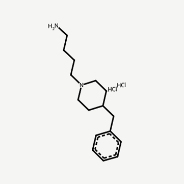 Cl.Cl.NCCCCN1CCC(Cc2ccccc2)CC1